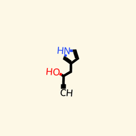 C#CC(O)Cc1cc[nH]c1